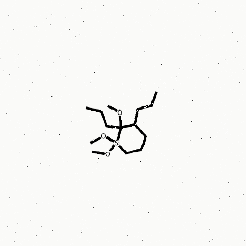 CCCC1CCC[Si](OC)(OC)C1(CCC)OC